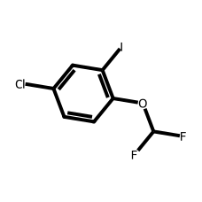 FC(F)Oc1ccc(Cl)cc1I